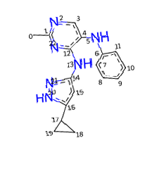 Cc1ncc(Nc2ccccc2)c(Nc2cc(C3CC3)[nH]n2)n1